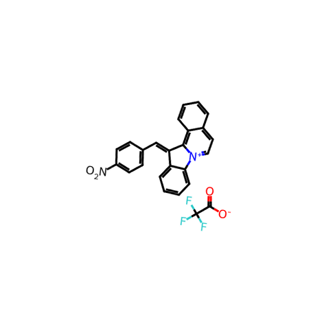 O=C([O-])C(F)(F)F.O=[N+]([O-])c1ccc(/C=C2\c3ccccc3-[n+]3ccc4ccccc4c32)cc1